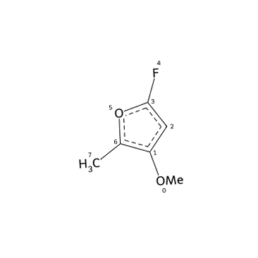 COc1cc(F)oc1C